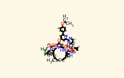 CC(C)Oc1ccc(-c2cc(O[C@@H]3C[C@H]4C(=O)N[C@]5(C(=O)NS(=O)(=O)C6(C)CC6)C[C@H]5C=CCC[C@@H](C)C[C@@H](C)[C@H](N(C(=O)O)C(C)(C)C(F)(F)F)C(=O)N4C3)cc(-c3ncccn3)n2)cc1